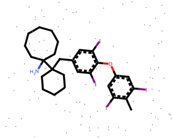 Cc1c(I)cc(Oc2c(I)cc(CC3(C4(N)CCCCCCC4)CCCCC3)cc2I)cc1I